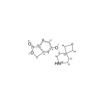 O=C1OCc2cc(O[C@H]3CNCCC34CCC4)ccc21